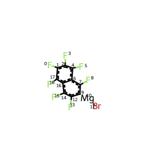 Fc1c(F)c(F)c2c(F)[c]([Mg][Br])c(F)c(F)c2c1F